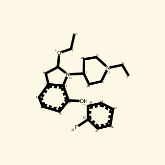 CCOC1Cc2cccc(O)c2N1C1CCN(CC)CC1.Fc1ccccc1